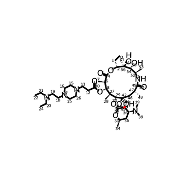 CC[C@H]1OC(=O)[C@H](C)[C@@H](OC(=O)CCN2CCN(CCN(CC)CC)CC2)[C@H](C)[C@@H](O[C@@H]2O[C@H](C)C[C@H](N(C)C)[C@H]2O)[C@](C)(OC)C[C@@H](C)C(=O)N[C@H](C)[C@@H](O)[C@]1(C)O